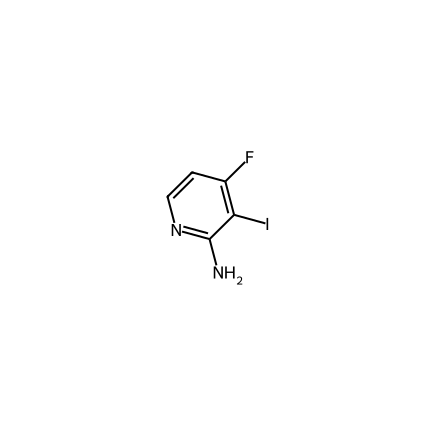 Nc1nccc(F)c1I